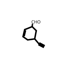 C#CC1CC=CC(C=O)C1